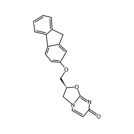 O=c1ccn2c(n1)O[C@H](COc1ccc3c(c1)Cc1ccccc1-3)C2